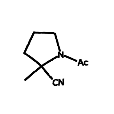 CC(=O)N1CCCC1(C)C#N